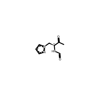 CC(=O)[C@H](Cn1cccn1)NC=O